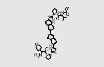 COC(=O)N[C@H](C(=O)N1CCC[C@H]1c1nc2ccc3cc(-c4ccc5cc(-c6cnc([C@@H]7CCCN7C(=O)[C@@H](N)C7CCOCC7)[nH]6)ccc5c4)ccc3c2[nH]1)C(C)C